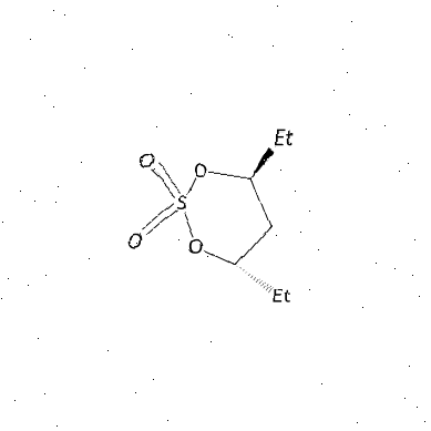 CC[C@H]1C[C@H](CC)OS(=O)(=O)O1